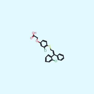 O=C(O)COc1ccc(SCC=C(c2ccccc2)c2ccccc2Cl)c(Cl)c1